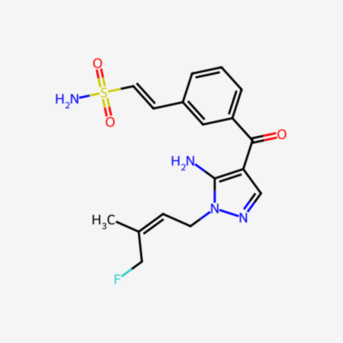 CC(=CCn1ncc(C(=O)c2cccc(C=CS(N)(=O)=O)c2)c1N)CF